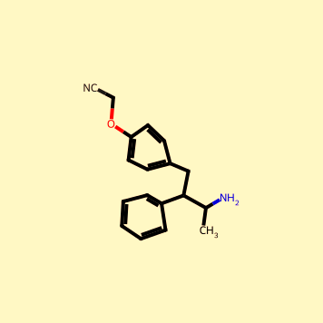 CC(N)C(Cc1ccc(OCC#N)cc1)c1ccccc1